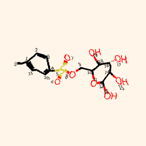 Cc1ccc(S(=O)(=O)OCC2OC(O)C(O)[C@@H](O)C2O)cc1